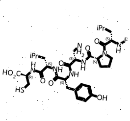 CC(C)C[C@H](NC(=O)[C@H](Cc1ccc(O)cc1)NC(=O)[C@H](CN)NC(=O)[C@@H]1CCCN1C(=O)[C@H](CC(C)C)NF)C(=O)N[C@@H](CS)C(=O)O